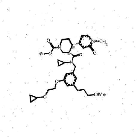 COCCCc1cc(CN(C(=O)[C@H]2CN(C(=O)OC(C)(C)C)CC[C@@H]2c2ccn(C)c(=O)c2)C2CC2)cc(OCCOC2CC2)c1